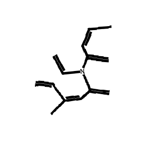 C=C/C(C)=C\C(=C)N(C=C)C(=C)/C=C\C